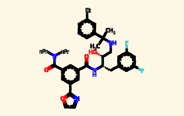 CCCN(CCC)C(=O)c1cc(C(=O)N[C@@H](Cc2cc(F)cc(F)c2)[C@H](O)CNC(C)(C)c2cccc(CC)c2)cc(-c2ncco2)c1